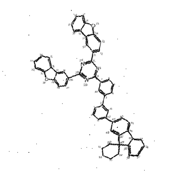 c1cc(-c2cccc(-c3nc(-c4ccc5oc6ccccc6c5c4)nc(-c4ccc5oc6ccccc6c5c4)n3)c2)cc(-c2ccc3c(c2)C2(CCCCC2)c2ccccc2-3)c1